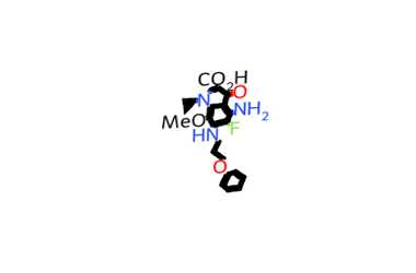 COc1c(NCCCOc2ccccc2)c(F)c(N)c2c(=O)c(C(=O)O)cn(C3CC3)c12